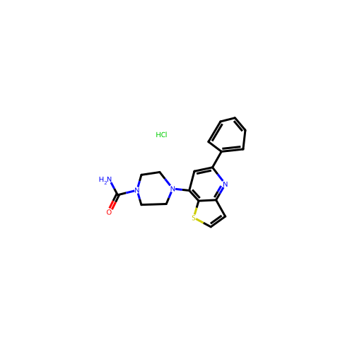 Cl.NC(=O)N1CCN(c2cc(-c3ccccc3)nc3ccsc23)CC1